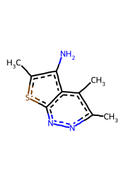 Cc1nnc2sc(C)c(N)c2c1C